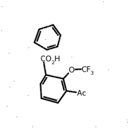 CC(=O)c1cccc(C(=O)O)c1OC(F)(F)F.c1ccccc1